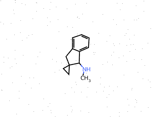 CNC1c2ccccc2CC12CC2